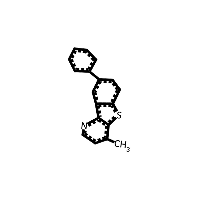 Cc1ccnc2c1sc1ccc(-c3ccccc3)cc12